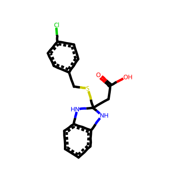 O=C(O)CC1(SCc2ccc(Cl)cc2)Nc2ccccc2N1